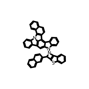 c1ccc2cc(C3c4sc5ccccc5c4N3n3c4ccccc4c4c5c6ccc7ccccc7c6n6c7ccccc7c(cc43)c56)ccc2c1